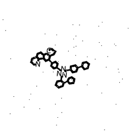 c1ccc(-c2ccc(-c3nc(-c4ccc(-c5cc6c(ccc7cccnc76)c6ccccc56)cc4)nc(-c4ccccc4-c4ccccc4)n3)cc2)cc1